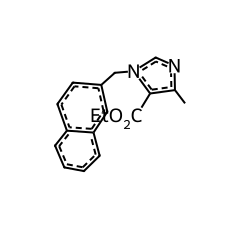 CCOC(=O)c1c(C)ncn1Cc1ccc2ccccc2c1